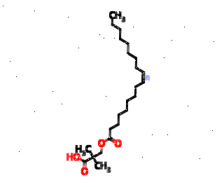 CCCCCCCC/C=C\CCCCCCCC(=O)OCC(C)(C)C(=O)O